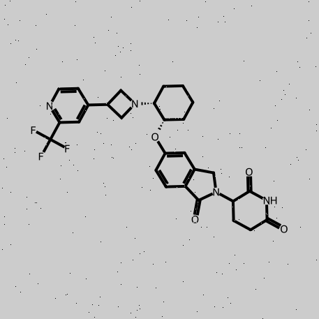 O=C1CCC(N2Cc3cc(O[C@H]4CCCC[C@H]4N4CC(c5ccnc(C(F)(F)F)c5)C4)ccc3C2=O)C(=O)N1